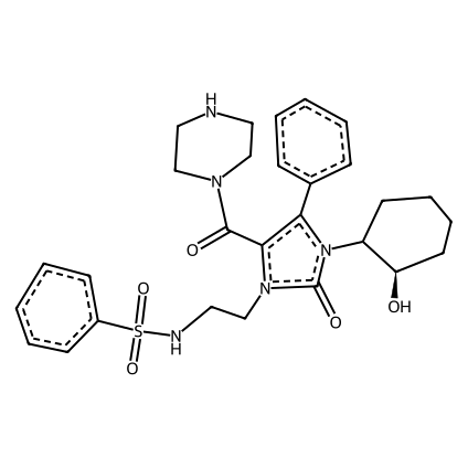 O=C(c1c(-c2ccccc2)n(C2CCCC[C@H]2O)c(=O)n1CCNS(=O)(=O)c1ccccc1)N1CCNCC1